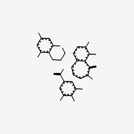 C=C(O[C@@H]1Cc2c(O)cc(O)cc2O[C@@H]1c1cc(O)c(O)c2c(=O)c(O)cccc12)c1cc(O)c(O)c(O)c1